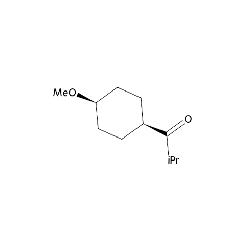 CO[C@H]1CC[C@@H](C(=O)C(C)C)CC1